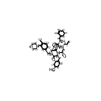 C=CCN1CC(=O)N2[C@@H](Cc3ccc(O)cc3)C(=O)N(Cc3ccc(C)c(N4CCOCC4)c3)C[C@@H]2N1C(=O)NCc1ccccc1